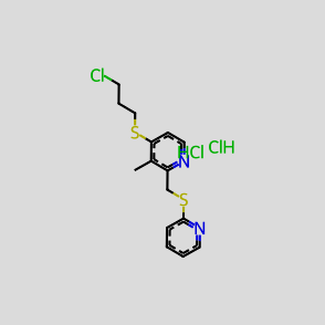 Cc1c(SCCCCl)ccnc1CSc1ccccn1.Cl.Cl